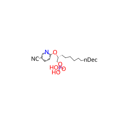 CCCCCCCCCCCCCCCC[C@H](COP(=O)(O)O)Oc1ccc(C#N)cn1